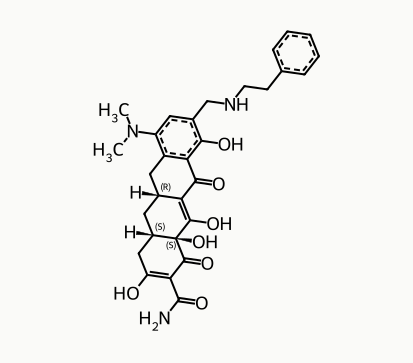 CN(C)c1cc(CNCCc2ccccc2)c(O)c2c1C[C@H]1C[C@H]3CC(O)=C(C(N)=O)C(=O)[C@@]3(O)C(O)=C1C2=O